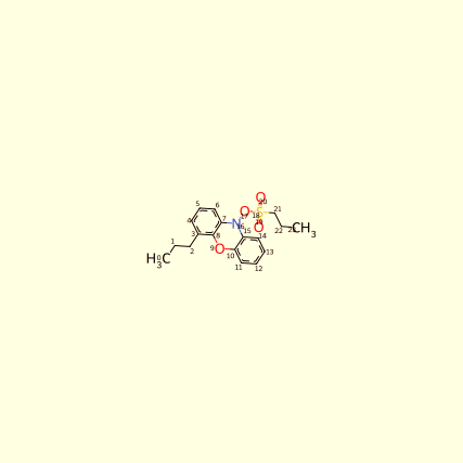 CCCc1cccc2c1Oc1ccccc1N2OS(=O)(=O)CCC